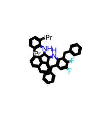 CC(C)c1cccc(C(C)C)c1NC1c2cccc3cccc(c23)C1Nc1c(Cc2ccccc2)cc(F)c(F)c1Cc1ccccc1